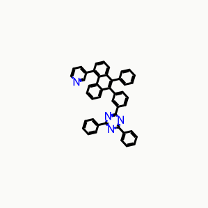 c1ccc(-c2nc(-c3ccccc3)nc(-c3cccc(-c4c(-c5ccccc5)c5cccc(-c6cccnc6)c5c5ccccc45)c3)n2)cc1